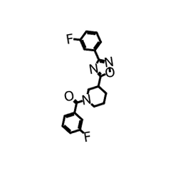 O=C(c1cccc(F)c1)N1CCCC(c2nc(-c3cccc(F)c3)no2)C1